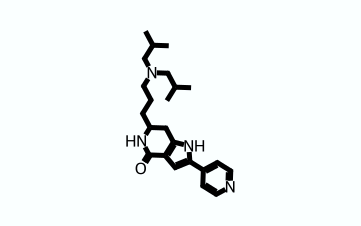 CC(C)CN(CCCC1Cc2[nH]c(-c3ccncc3)cc2C(=O)N1)CC(C)C